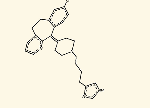 Clc1ccc2c(c1)CCc1cccnc1C2=C1CCN(CCCCc2c[nH]cn2)CC1